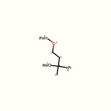 CCCC(C)OCCC(C)(CCC)OC